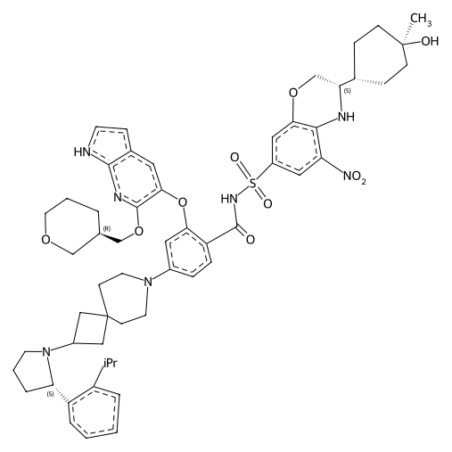 CC(C)c1ccccc1[C@@H]1CCCN1C1CC2(CCN(c3ccc(C(=O)NS(=O)(=O)c4cc5c(c([N+](=O)[O-])c4)N[C@@H]([C@H]4CC[C@](C)(O)CC4)CO5)c(Oc4cc5cc[nH]c5nc4OC[C@@H]4CCCOC4)c3)CC2)C1